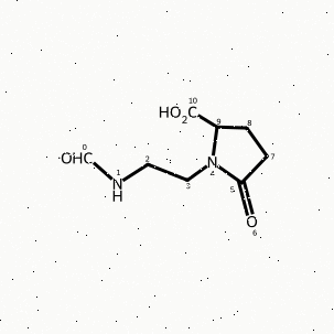 O=[C]NCCN1C(=O)CCC1C(=O)O